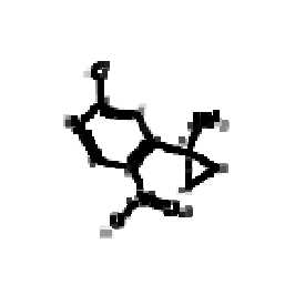 NC1(c2cc(Cl)ncc2[N+](=O)[O-])CC1